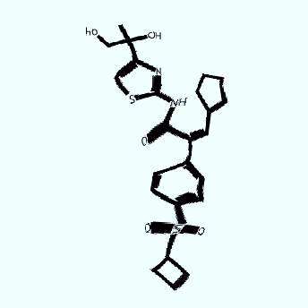 CC(O)(CO)c1csc(NC(=O)C(=CC2CCCC2)c2ccc(S(=O)(=O)C3CCC3)cc2)n1